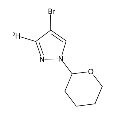 [2H]c1nn(C2CCCCO2)cc1Br